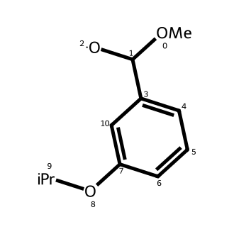 COC([O])c1cccc(OC(C)C)c1